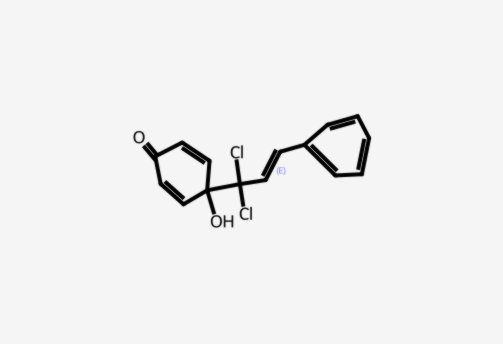 O=C1C=CC(O)(C(Cl)(Cl)/C=C/c2ccccc2)C=C1